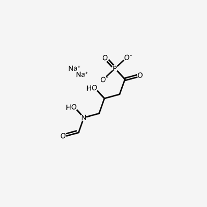 O=CN(O)CC(O)CC(=O)P(=O)([O-])[O-].[Na+].[Na+]